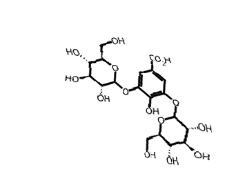 O=C(O)c1cc(OC2O[C@H](CO)[C@@H](O)[C@H](O)[C@H]2O)c(O)c(OC2O[C@H](CO)[C@@H](O)[C@H](O)[C@H]2O)c1